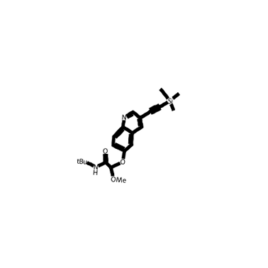 COC(Oc1ccc2ncc(C#C[Si](C)(C)C)cc2c1)C(=O)NC(C)(C)C